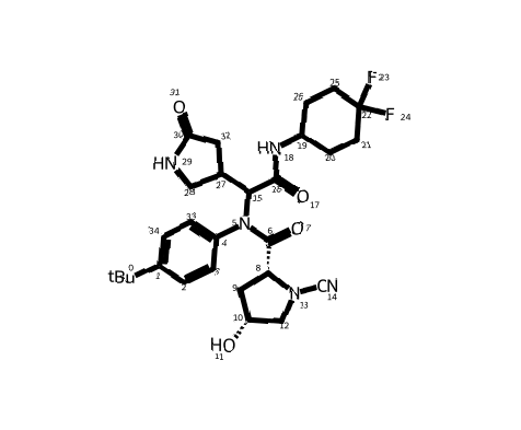 CC(C)(C)c1ccc(N(C(=O)[C@H]2C[C@@H](O)CN2C#N)C(C(=O)NC2CCC(F)(F)CC2)C2CNC(=O)C2)cc1